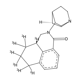 [2H]C1([2H])c2cccc3c2[C@@]([2H])(CN([C@@H]2CN4CCC2CC4)C3=O)C([2H])([2H])C1([2H])[2H]